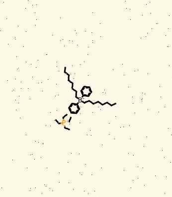 CCCCCCCC[B-](CCCCCCCC)(c1ccccc1)c1ccccc1.CC[P+](CC)(CC)CC